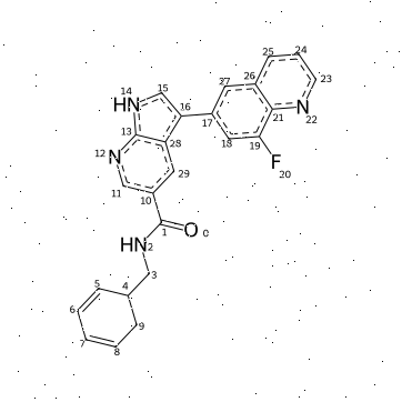 O=C(NCC1C=CC=CC1)c1cnc2[nH]cc(-c3cc(F)c4ncccc4c3)c2c1